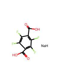 O=C(O)c1c(F)c(F)c(C(=O)O)c(F)c1F.[NaH]